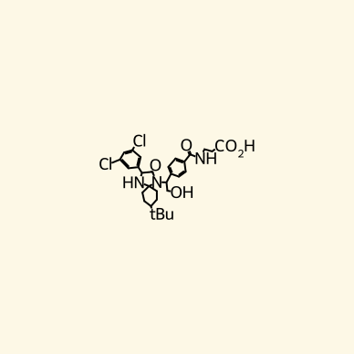 CC(C)(C)C1CCC2(CC1)NC(c1cc(Cl)cc(Cl)c1)C(=O)N2C(CO)c1ccc(C(=O)NCCC(=O)O)cc1